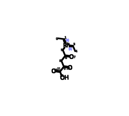 C/[CH]=[Rh](=[CH]\C)\[CH2]C(=O)CC(=O)C(=O)O